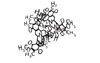 CCC(N)C(=O)NCC1C2=C(CC3C4C5=C(C(=O)C(C)=C(OC)C5=O)C(NC(CC)C(=O)NCC5C6=C(CC7C8C9=C(CC(C(C#N)N57)N8C)C(=O)C(C)=C(OC)C9=O)C(=O)C(C)=C(OC)C6=O)C(C(C#N)N13)N4C)C(=O)C(C)=C(OC)C2=O